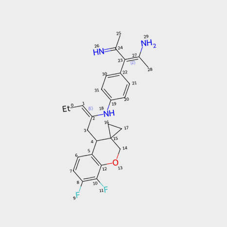 CC/C=C(\CC1c2ccc(F)c(F)c2OCC12CC2)Nc1ccc(/C(C(C)=N)=C(\C)N)cc1